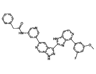 COc1cc(F)cc(-c2nccc3[nH]c(-c4n[nH]c5cnc(-c6cncc(NC(=O)Cc7ccccc7)c6)cc45)nc23)c1